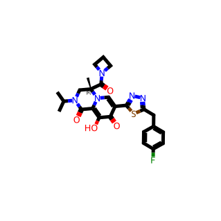 CC(C)N1C[C@](C)(C(=O)N2CCC2)n2cc(-c3nnc(Cc4ccc(F)cc4)s3)c(=O)c(O)c2C1=O